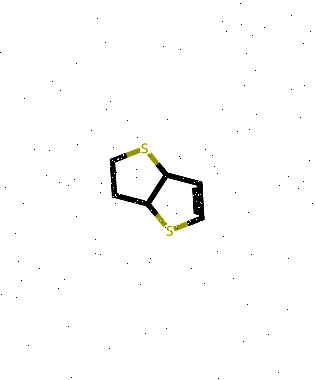 C1=CC2SCCC2S1